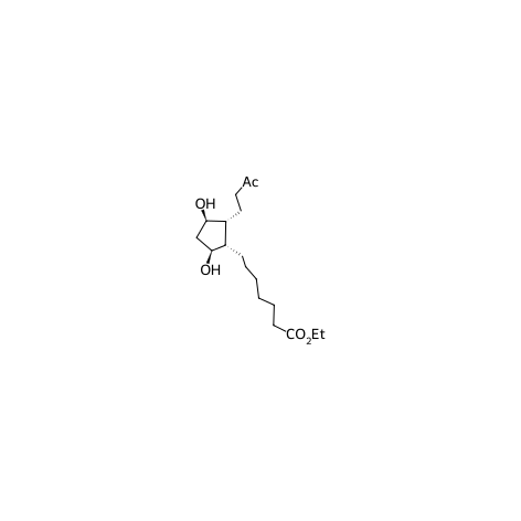 CCOC(=O)CCCCCC[C@H]1[C@@H](CCC(C)=O)[C@H](O)C[C@@H]1O